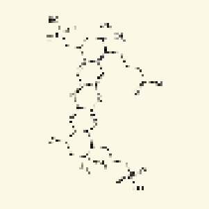 CC1CC(C)(C)N(CCCS(=O)(=O)O)c2cc3c(cc21)N=c1cc2c(cc1O3)=[N+](CCCC(=O)O)C(C)(C)CC2CS(=O)(=O)O